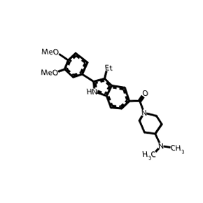 CCc1c(-c2ccc(OC)c(OC)c2)[nH]c2ccc(C(=O)N3CCC(N(C)C)CC3)cc12